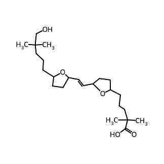 CC(C)(CO)CCCC1CCC(/C=C/C2CCC(CCCC(C)(C)C(=O)O)O2)O1